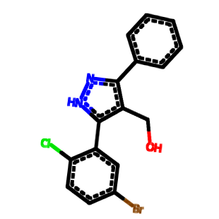 OCc1c(-c2ccccc2)n[nH]c1-c1cc(Br)ccc1Cl